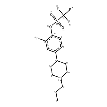 CCC[SiH]1CCC(c2ccc(OS(=O)(=O)C(F)(F)F)c(F)c2)CC1